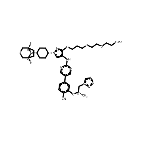 COCCOCCOCCCOc1nn([C@H]2CC[C@H](N3[C@@H]4CC[C@H]3COC4)CC2)cc1Nc1ncc(-c2ccc(C#N)c(O[C@@H](C)Cn3cnnn3)c2)cn1